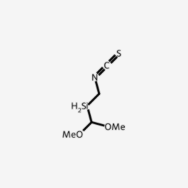 COC(OC)[SiH2]CN=C=S